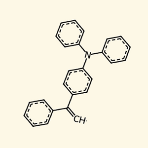 [CH]=C(c1ccccc1)c1ccc(N(c2ccccc2)c2ccccc2)cc1